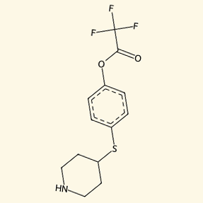 O=C(Oc1ccc(SC2CCNCC2)cc1)C(F)(F)F